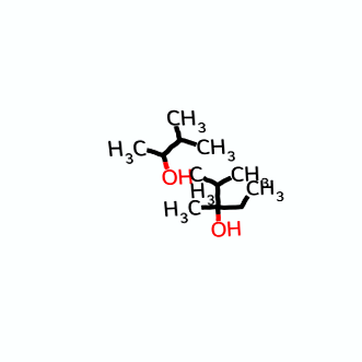 CC(C)C(C)O.CCC(C)(O)C(C)C